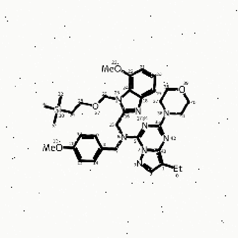 CCc1cnn2c(N(Cc3ccc(OC)cc3)Cc3nc4cccc(OC)c4n3COCC[Si](C)(C)C)nc(N3CCOCC3)nc12